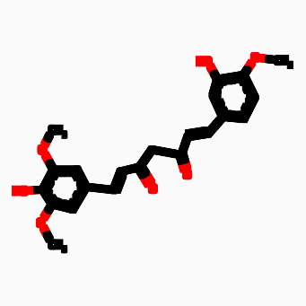 COc1ccc(C=CC(=O)CC(=O)C=Cc2cc(OC)c(O)c(OC)c2)cc1O